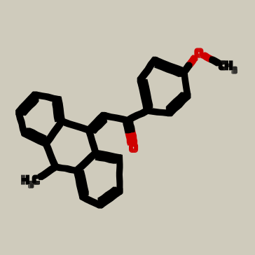 COc1ccc(C(=O)C=C2c3ccccc3C(C)c3ccccc32)cc1